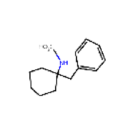 O=C(O)NC1(Cc2ccccc2)CCCCC1